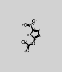 O=C(Cl)Oc1ccc([N+](=O)[O-])s1